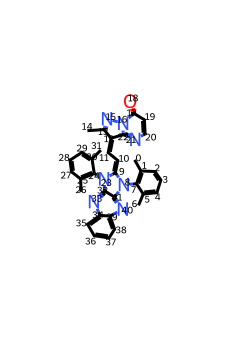 Cc1cccc(C)c1N1C(=C/C=c2/c(C)nn3c(=O)ccnc23)N(c2c(C)cccc2C)c2nc3ccccc3nc21